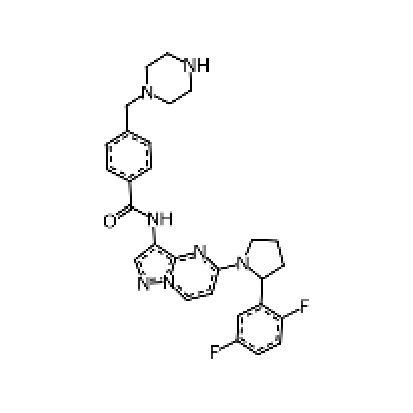 O=C(Nc1cnn2ccc(N3CCCC3c3cc(F)ccc3F)nc12)c1ccc(CN2CCNCC2)cc1